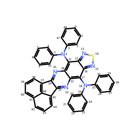 c1ccc(N(c2ccccc2)c2c3nsnc3c(N(c3ccccc3)c3ccccc3)c3nc4c(nc23)-c2cccc3cccc-4c23)cc1